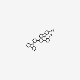 N#Cc1ccc2c3ccccc3n(-c3c(C#N)cccc3-c3ccc(-c4cccc(-n5c6ccccc6c6ccccc65)c4)cc3)c2c1